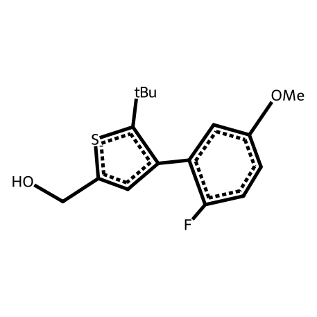 COc1ccc(F)c(-c2cc(CO)sc2C(C)(C)C)c1